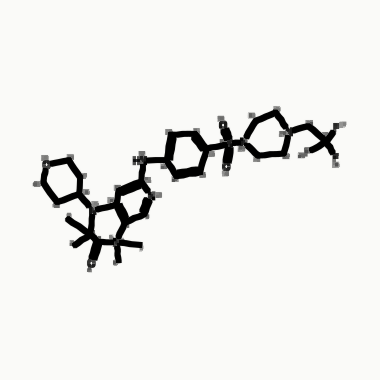 CC1(C)C(=O)[N+](C)(C)c2cnc(Nc3ccc(S(=O)(=O)N4CCN(CC(F)(F)F)CC4)cc3)cc2N1C1CCOCC1